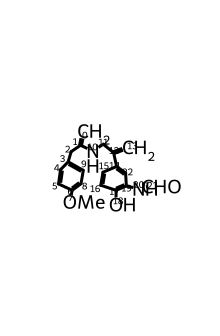 C=C(Cc1ccc(OC)cc1)NCC(=C)c1ccc(O)c(NC=O)c1